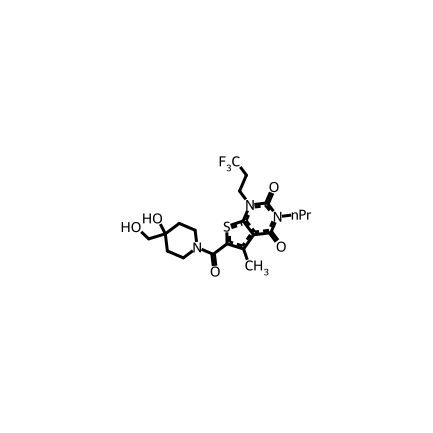 CCCn1c(=O)c2c(C)c(C(=O)N3CCC(O)(CO)CC3)sc2n(CCC(F)(F)F)c1=O